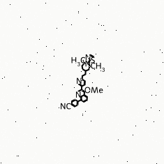 COc1c(-c2ccc(CCC3CC[C@@H](C)N(c4nccs4)[C@@H](C)C3)nc2)cnc2c(-c3ccc(C#N)cc3)cccc12